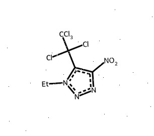 CCn1nnc([N+](=O)[O-])c1C(Cl)(Cl)C(Cl)(Cl)Cl